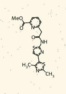 COC(=O)c1cccc(CC(=O)Nc2nc(-c3sc(C)nc3C)cs2)n1